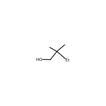 [CH2]C([CH2])(CC)CO